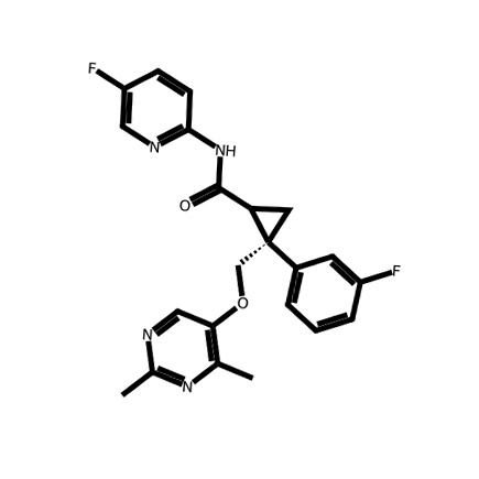 Cc1ncc(OC[C@@]2(c3cccc(F)c3)CC2C(=O)Nc2ccc(F)cn2)c(C)n1